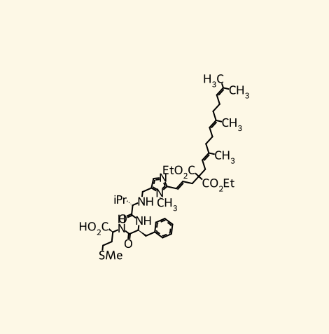 CCOC(=O)C(C/C=C/c1ncc(CN[C@H](C(=O)N[C@@H](Cc2ccccc2)C(=O)N[C@@H](CCSC)C(=O)O)C(C)C)n1C)(C/C=C(\C)CC/C=C(\C)CCC=C(C)C)C(=O)OCC